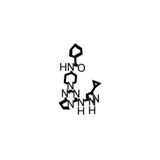 O=C(NC1CCN(c2nc(Nc3cc(C4CC4)n[nH]3)n3cccc3n2)CC1)c1ccccc1